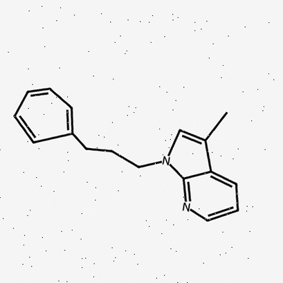 Cc1cn(CCCc2ccccc2)c2ncccc12